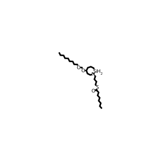 CCCCCCCCCOCOC1CCC[SiH2]N(CCCCSC(=O)CCCCCCC)CC1